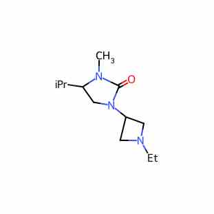 CCN1CC(N2CC(C(C)C)N(C)C2=O)C1